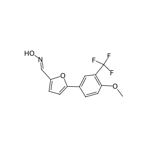 COc1ccc(-c2ccc(C=NO)o2)cc1C(F)(F)F